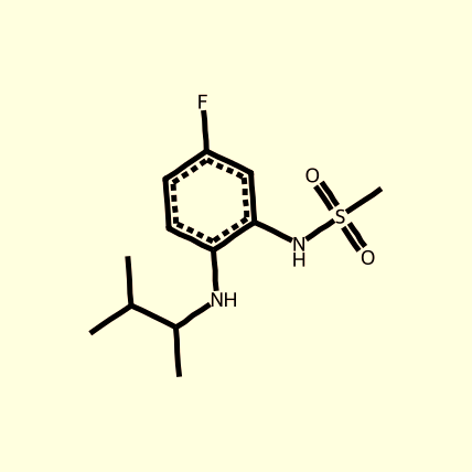 CC(C)C(C)Nc1ccc(F)cc1NS(C)(=O)=O